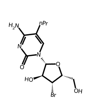 CCCc1cn([C@@H]2O[C@H](CO)[C@H](Br)[C@H]2O)c(=O)nc1N